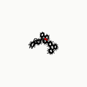 c1ccc(-c2ccccc2N(c2ccc(-c3ccc4c5ccccc5c5ccccc5c4c3)cc2)c2ccc3c(c2)oc2ccncc23)cc1